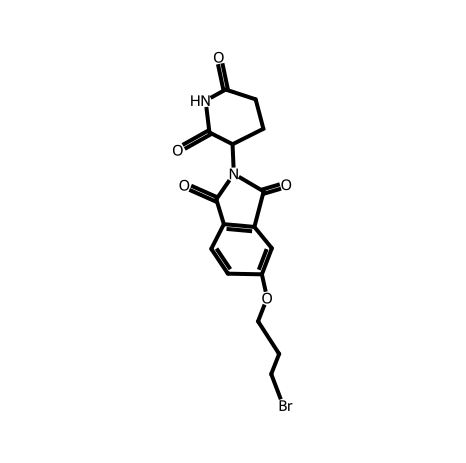 O=C1CCC(N2C(=O)c3ccc(OCCCBr)cc3C2=O)C(=O)N1